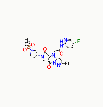 CCc1cc2n(CC(=O)Nc3ccc(F)cn3)c3c(c(=O)n2n1)CN(C1CCN(S(C)(=O)=O)C1)C3=O